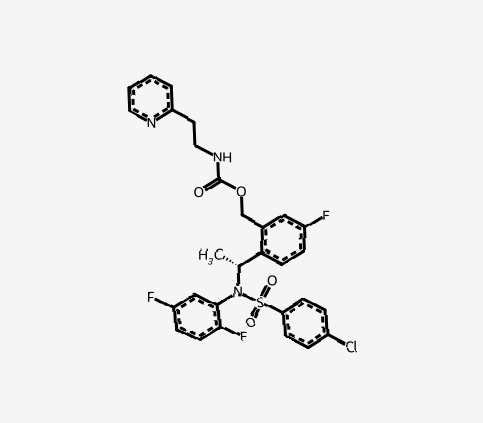 C[C@H](c1ccc(F)cc1COC(=O)NCCc1ccccn1)N(c1cc(F)ccc1F)S(=O)(=O)c1ccc(Cl)cc1